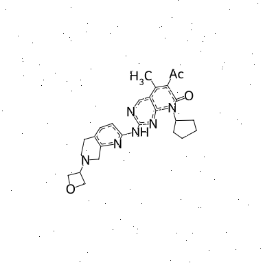 CC(=O)c1c(C)c2cnc(Nc3ccc4c(n3)CN(C3COC3)CC4)nc2n(C2CCCC2)c1=O